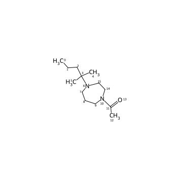 CCCC(C)(C)N1CCCN(C(C)=O)CC1